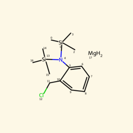 C[Si](C)(C)N(c1ccccc1CCl)[Si](C)(C)C.[MgH2]